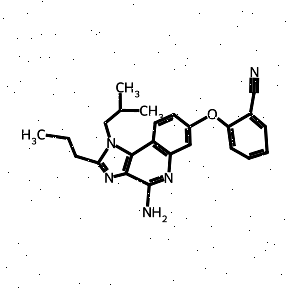 CCCc1nc2c(N)nc3cc(Oc4ccccc4C#N)ccc3c2n1CC(C)C